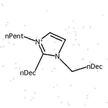 CCCCCCCCCCCn1cc[n+](CCCCC)c1CCCCCCCCCC